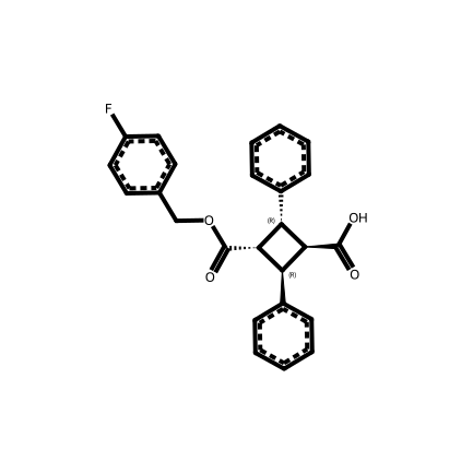 O=C(O)[C@H]1[C@@H](c2ccccc2)[C@H](C(=O)OCc2ccc(F)cc2)[C@@H]1c1ccccc1